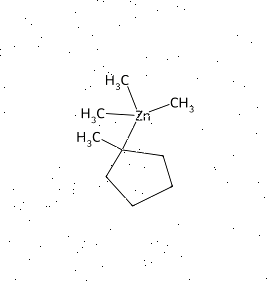 C[C]1([Zn]([CH3])([CH3])[CH3])CCCC1